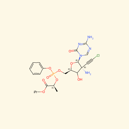 CC(C)OC(=O)[C@H](C)OP(=O)(OC[C@H]1O[C@@H](n2cnc(N)nc2=O)[C@@](N)(C#CCl)C1O)Oc1ccccc1